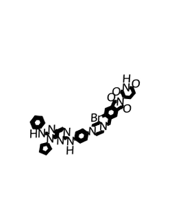 O=C1CCC(N2C(=O)c3cc(Br)c(CN4CCN(c5ccc(Nc6ncc7nc(Nc8ccccc8)n(C8CCCC8)c7n6)cc5)CC4)cc3C2=O)C(=O)N1